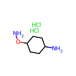 Cl.Cl.NOC1CCC(N)CC1